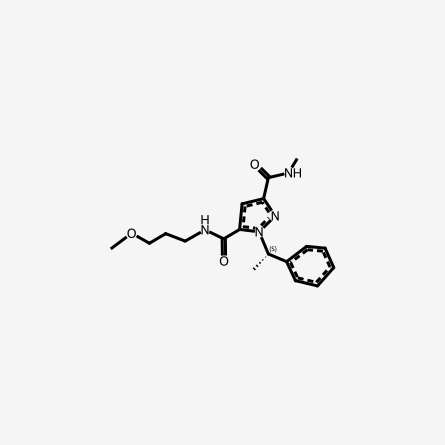 CNC(=O)c1cc(C(=O)NCCCOC)n([C@@H](C)c2ccccc2)n1